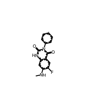 CNc1cc2[nH]c(=O)n(-c3cc[c]cc3)c(=O)c2cc1F